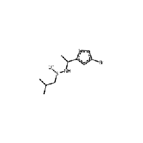 CC(C)C[S+]([O-])NC(C)c1cc(Br)cs1